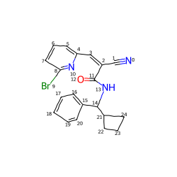 N#CC(=Cc1cccc(Br)n1)C(=O)NC(c1ccccc1)C1CCC1